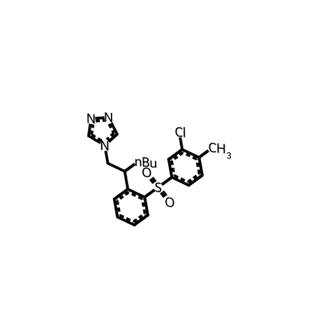 CCCCC(Cn1cnnc1)c1ccccc1S(=O)(=O)c1ccc(C)c(Cl)c1